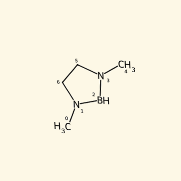 CN1BN(C)CC1